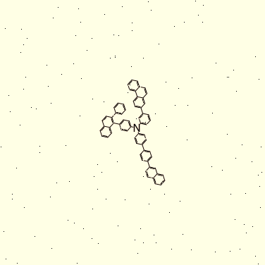 c1ccc(-c2ccc3ccccc3c2-c2ccc(N(c3ccc(-c4ccc(-c5ccc6ccccc6c5)cc4)cc3)c3cccc(-c4ccc5c(ccc6ccccc65)c4)c3)cc2)cc1